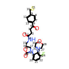 O=C(CCC(=O)c1ccc(C=S)cc1)NC[C@H]1CN(c2cccc(F)c2N2CCOCC2)C(=O)O1